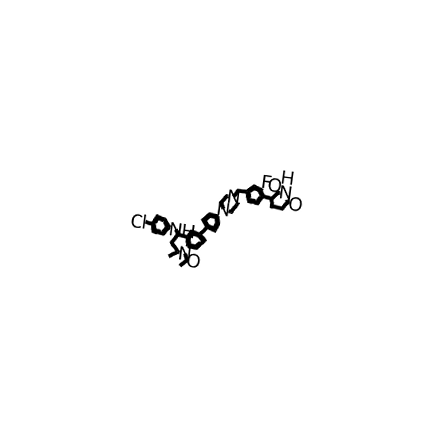 CC(=O)N1c2ccc(-c3ccc(N4CCN(Cc5ccc(C6CCC(=O)NC6=O)c(F)c5)CC4)cc3)cc2C(Nc2ccc(Cl)cc2)CC1C